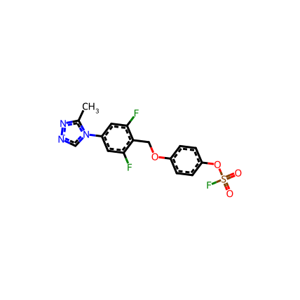 Cc1nncn1-c1cc(F)c(COc2ccc(OS(=O)(=O)F)cc2)c(F)c1